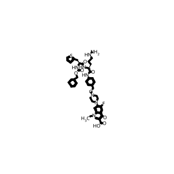 CCn1cc(C(=O)O)c(=O)c2cc(F)c(N3CCN(OCc4ccc(NC(=O)[C@H](CCCNN)NC(=O)[C@H](Cc5cccs5)NC(=O)OCc5ccccc5)cc4)CC3)cc21